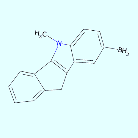 Bc1ccc2c(c1)c1c(n2C)-c2ccccc2C1